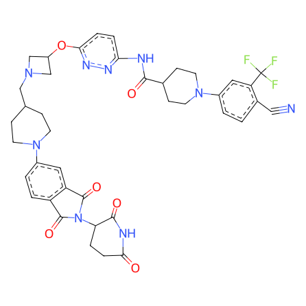 N#Cc1ccc(N2CCC(C(=O)Nc3ccc(OC4CN(CC5CCN(c6ccc7c(c6)C(=O)N(C6CCC(=O)NC6=O)C7=O)CC5)C4)nn3)CC2)cc1C(F)(F)F